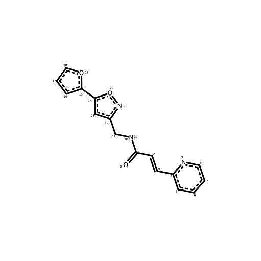 O=C(C=Cc1ccccn1)NCc1cc(-c2ccco2)on1